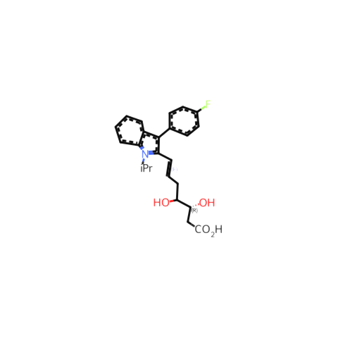 CC(C)n1c(/C=C/CC(O)[C@H](O)CC(=O)O)c(-c2ccc(F)cc2)c2ccccc21